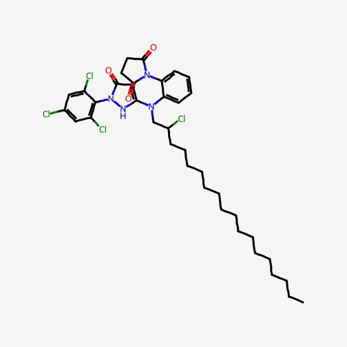 CCCCCCCCCCCCCCCCC(Cl)CN(c1cc(=O)n(-c2c(Cl)cc(Cl)cc2Cl)[nH]1)c1ccccc1N1C(=O)CCC1=O